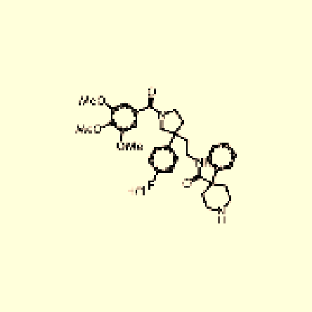 COc1cc(C(=O)N2CCC(CCNC(=O)C3(c4ccccc4)CCNCC3)(c3ccc(F)cc3)C2)cc(OC)c1OC.Cl